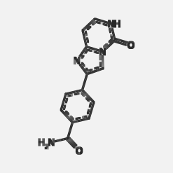 NC(=O)c1ccc(-c2cn3c(=O)[nH]ccc3n2)cc1